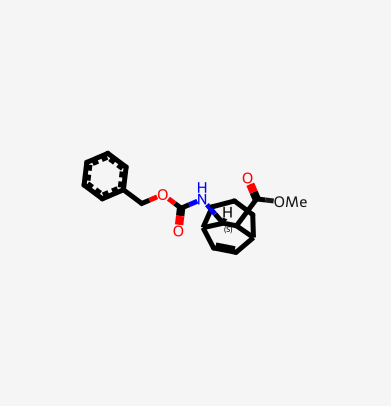 COC(=O)C1C2C=CC(CCC2)[C@@H]1NC(=O)OCc1ccccc1